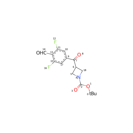 CC(C)(C)OC(=O)N1CC(C(=O)c2cc(F)c(C=O)c(F)c2)C1